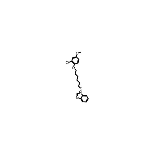 COc1ccc(OCCCCCCSn2cnc3ccccc32)c(Cl)c1